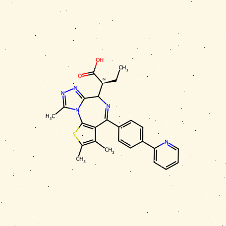 CC[C@H](C(=O)O)C1N=C(c2ccc(-c3ccccn3)cc2)c2c(sc(C)c2C)-n2c(C)nnc21